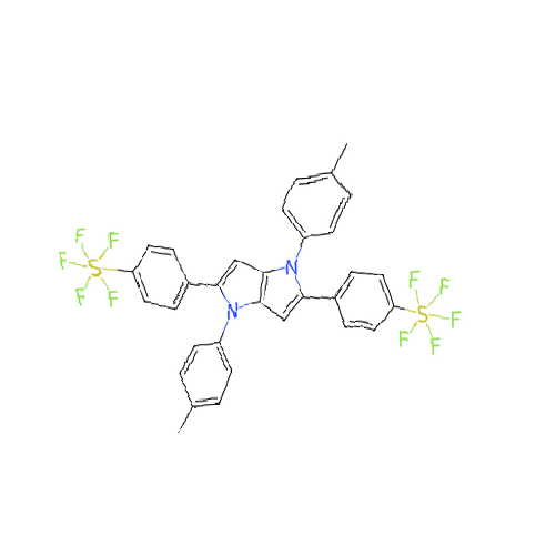 Cc1ccc(-n2c(-c3ccc(S(F)(F)(F)(F)F)cc3)cc3c2cc(-c2ccc(S(F)(F)(F)(F)F)cc2)n3-c2ccc(C)cc2)cc1